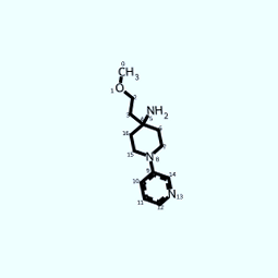 COCCC1(N)CCN(c2cccnc2)CC1